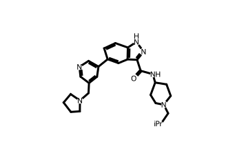 CC(C)CN1CCC(NC(=O)c2n[nH]c3ccc(-c4cncc(CN5CCCC5)c4)cc23)CC1